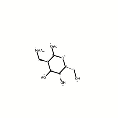 CC(=O)NC[C@H]1C(OC(C)=O)O[C@H](CO)[C@H](O)C1O